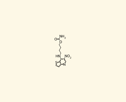 NC(=O)OCCCCNc1c([N+](=O)[O-])cnc2ccsc12